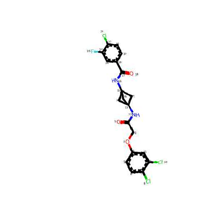 O=C(COc1ccc(Cl)c(Cl)c1)NC12CC(NC(=O)c3ccc(Cl)c(F)c3)(C1)C2